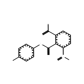 O=C(O)c1cccc([N+](=O)[O-])c1C(=O)Nc1ccc(F)cc1